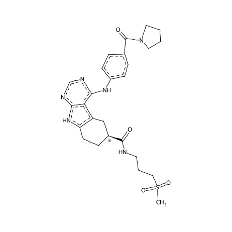 CS(=O)(=O)CCCNC(=O)[C@H]1CCc2[nH]c3ncnc(Nc4ccc(C(=O)N5CCCC5)cc4)c3c2C1